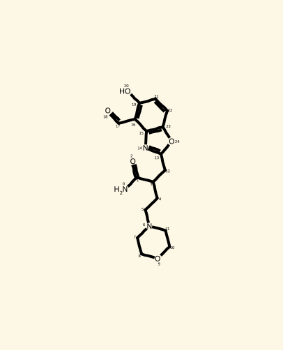 NC(=O)C(CCN1CCOCC1)Cc1nc2c(C=O)c(O)ccc2o1